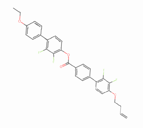 C=CCCOc1ccc(-c2ccc(C(=O)Oc3ccc(-c4ccc(OCC)cc4)c(F)c3F)cc2)c(F)c1F